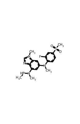 CPN(C)c1cc(N(C)c2ccc(S(C)(=O)=O)cc2F)cc2c1ncn2C